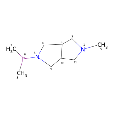 CN1CC2CN(P(C)C)CC2C1